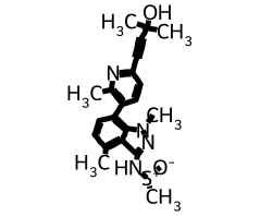 Cc1nc(C#CC(C)(C)O)ccc1-c1ccc(C)c2c(N[S+](C)[O-])nn(C)c12